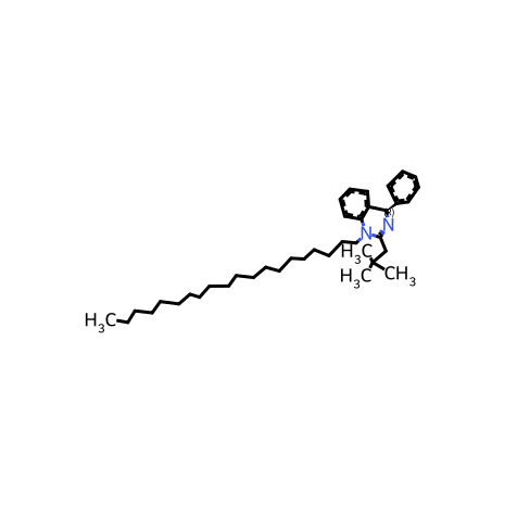 CCCCCCCCCCCCCCCCCCCCN1C(CC(C)(C)C)=N[C@H](c2ccccc2)c2ccccc21